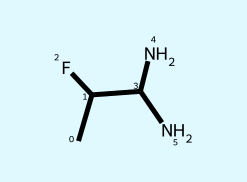 CC(F)C(N)N